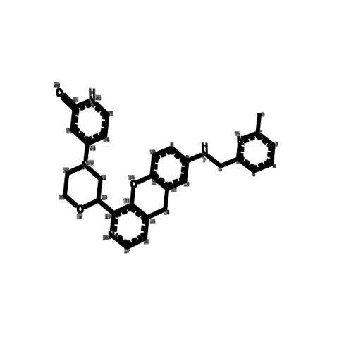 Cc1cccc(CNc2ccc3c(c2)Cc2ccnc(C4CN(c5cc[nH]c(=O)c5)CCO4)c2O3)n1